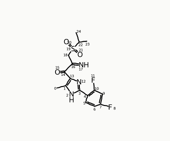 Cc1[nH]c(-c2ccc(F)cc2F)nc1C(=O)C(=N)CS(=O)(=O)C(C)C